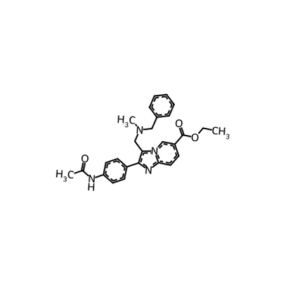 CCOC(=O)c1ccc2nc(-c3ccc(NC(C)=O)cc3)c(CN(C)Cc3ccccc3)n2c1